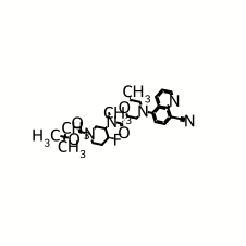 C[C@@H]1CN(c2ccc(C#N)c3ncccc23)C[C@H](C(=O)N(C)[C@@H]2CN(C(=O)OC(C)(C)C)CC[C@@H]2F)O1